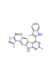 COc1cc2c(cc1-c1c(C)noc1C)[nH]c1nc(C)nc(-c3[nH]c4ccccc4c3C)c12